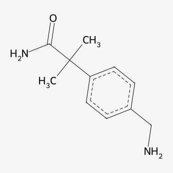 CC(C)(C(N)=O)c1ccc(CN)cc1